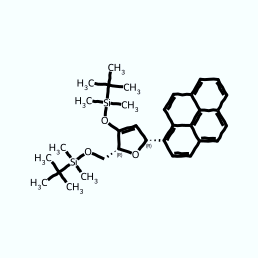 CC(C)(C)[Si](C)(C)OC[C@H]1O[C@@H](c2ccc3ccc4cccc5ccc2c3c45)C=C1O[Si](C)(C)C(C)(C)C